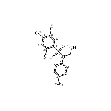 N#CCN(c1ccc(C(F)(F)F)cc1)S(=O)(=O)c1cc(Cl)c(Cl)cc1Cl